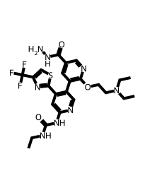 CCNC(=O)Nc1cc(-c2nc(C(F)(F)F)cs2)c(-c2cc(C(=O)NN)cnc2OCCN(CC)CC)cn1